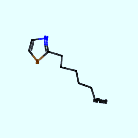 [CH2]CCCCCCCCCc1nccs1